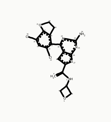 C=C(NC1COC1)c1cc2c(-c3c(Cl)cc(Cl)c4c3CCO4)nc(N)nc2s1